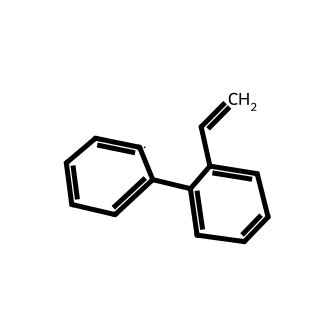 C=Cc1ccccc1-c1[c]cccc1